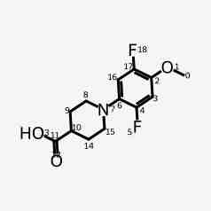 COc1cc(F)c(N2CCC(C(=O)O)CC2)cc1F